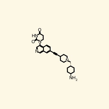 N[C@H]1CC[C@H](CN2CCC(C#Cc3ccc4c(N5CCC(=O)NC5=O)cncc4c3)CC2)CC1